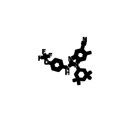 Cc1cc2c(cc1C#N)nc(Nc1ccc(OC(F)(F)F)cc1)n2C1CC(C)(C)CC(C)(C)C1